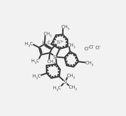 CC1=C(C)C(C)([Si](c2cc(C)cc([Si](C)(C)C)c2)(c2ccc(C)cc2C)c2ccc(C)cc2C)[C]([Ti+3])=C1C.[Cl-].[Cl-].[Cl-]